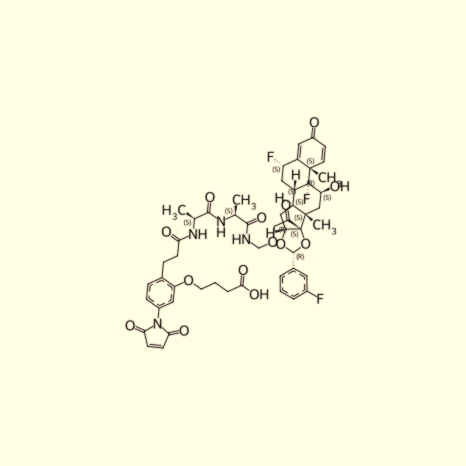 C[C@H](NC(=O)CCc1ccc(N2C(=O)C=CC2=O)cc1OCCCC(=O)O)C(=O)N[C@@H](C)C(=O)NCOCC(=O)[C@@]12O[C@H](c3cccc(F)c3)O[C@@H]1C[C@H]1[C@@H]3C[C@H](F)C4=CC(=O)C=C[C@]4(C)[C@@]3(F)[C@@H](O)C[C@@]12C